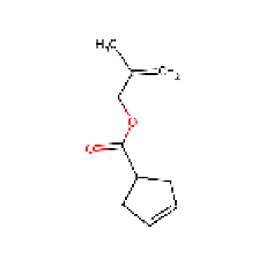 C=C(C)COC(=O)C1CC=CC1